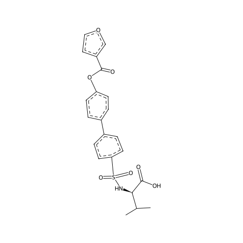 CC(C)[C@@H](NS(=O)(=O)c1ccc(-c2ccc(OC(=O)c3ccoc3)cc2)cc1)C(=O)O